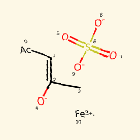 CC(=O)/C=C(/C)[O-].O=S(=O)([O-])[O-].[Fe+3]